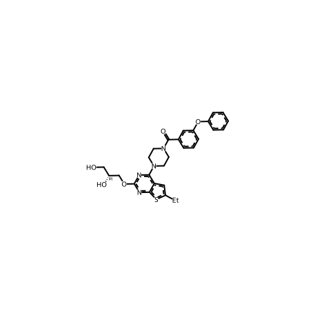 CCc1cc2c(N3CCN(C(=O)c4cccc(Oc5ccccc5)c4)CC3)nc(OC[C@H](O)CO)nc2s1